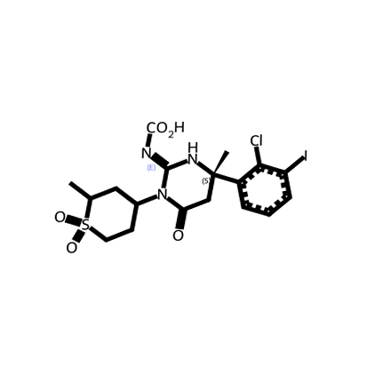 CC1CC(N2C(=O)C[C@@](C)(c3cccc(I)c3Cl)N/C2=N\C(=O)O)CCS1(=O)=O